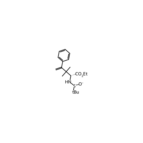 C=C(c1ccccc1)C(C)(C)[C@@H](N[S+]([O-])C(C)(C)C)C(=O)OCC